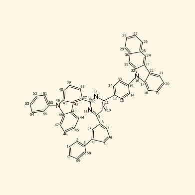 c1ccc(-c2cccc(-c3nc(-c4ccc(-n5c6ccccc6c6cc7ccccc7cc65)cc4)nc(-c4cccc5c4c4ccccc4n5-c4ccccc4)n3)c2)cc1